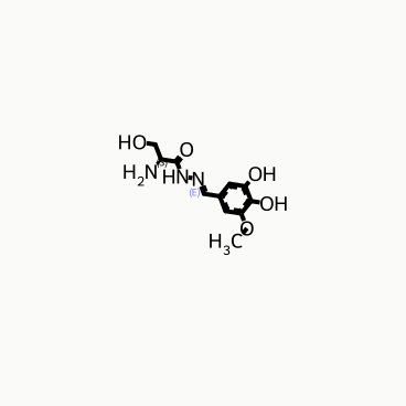 COc1cc(/C=N/NC(=O)[C@@H](N)CO)cc(O)c1O